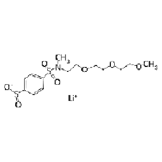 COCCOCCOCCN(C)S(=O)(=O)c1ccc(S(=O)[O-])cc1.[Li+]